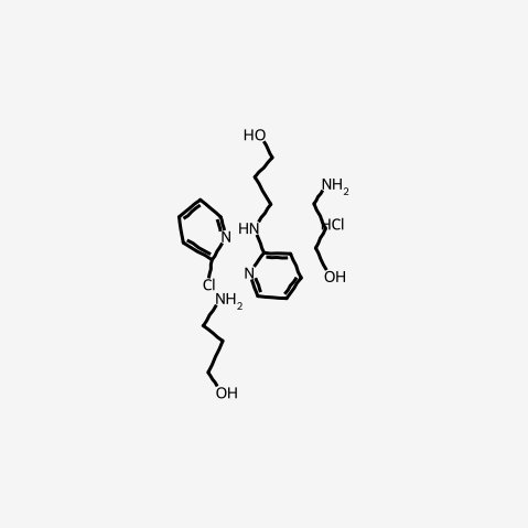 Cl.Clc1ccccn1.NCCCO.NCCCO.OCCCNc1ccccn1